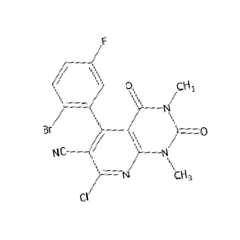 Cn1c(=O)c2c(-c3cc(F)ccc3Br)c(C#N)c(Cl)nc2n(C)c1=O